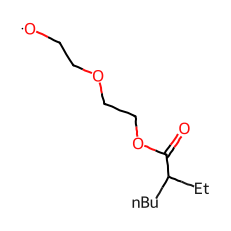 CCCCC(CC)C(=O)OCCOCC[O]